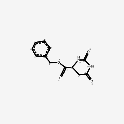 O=C1C[C@@H](C(=O)OCc2ccccc2)NC(=O)N1